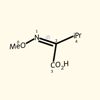 CO/N=C(\C(=O)O)C(C)C